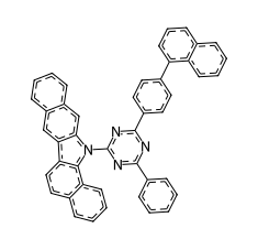 c1ccc(-c2nc(-c3ccc(-c4cccc5ccccc45)cc3)nc(-n3c4cc5ccccc5cc4c4ccc5ccccc5c43)n2)cc1